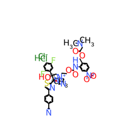 C[C@@H](c1nc(-c2ccc(C#N)cc2)cs1)[C@](O)(C[N+]1(CCOC(=O)Nc2cc([N+](=O)[O-])ccc2COC(=O)CN(C)C)C=NC=N1)c1cc(F)ccc1F.Cl.[Cl-]